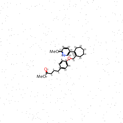 COC(=O)CCCc1ccc(OCC2=C(c3ccc(OC)nc3)CCCCC2)cc1